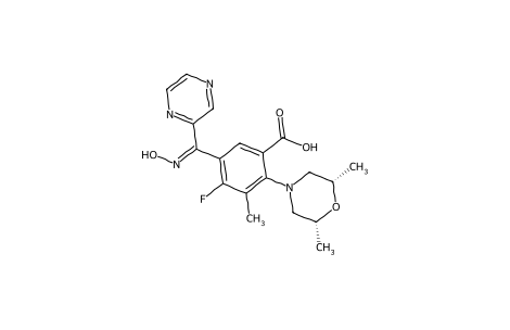 Cc1c(F)c(/C(=N/O)c2cnccn2)cc(C(=O)O)c1N1C[C@@H](C)O[C@@H](C)C1